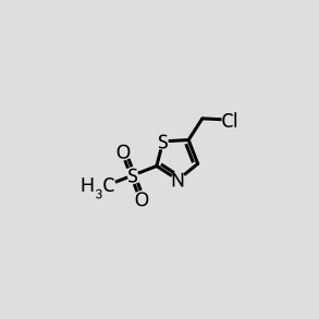 CS(=O)(=O)c1ncc(CCl)s1